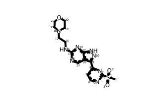 CS(=O)(=O)c1nccc(-c2n[nH]c3nc(NCCN4CCOCC4)ncc23)n1